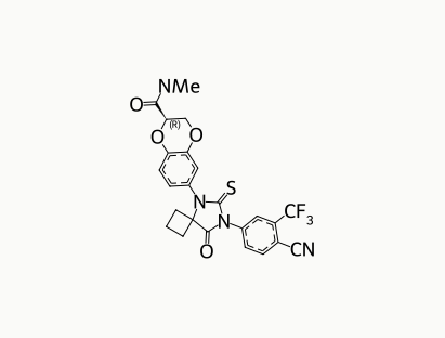 CNC(=O)[C@H]1COc2cc(N3C(=S)N(c4ccc(C#N)c(C(F)(F)F)c4)C(=O)C34CCC4)ccc2O1